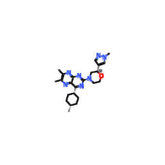 Cc1nc2nc(N3CCO[C@@H](c4cnn(C)c4)C3)nc([C@H]3CC[C@@H](C)CC3)c2nc1C